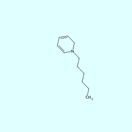 CCCCCCN1[C]=CC=CC1